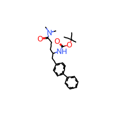 CN(C)C(=O)CCC(Cc1ccc(-c2ccccc2)cc1)NC(=O)OC(C)(C)C